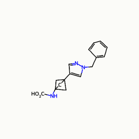 O=C(O)NC12CC(c3cnn(Cc4ccccc4)c3)(C1)C2